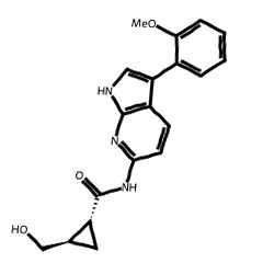 COc1ccccc1-c1c[nH]c2nc(NC(=O)[C@@H]3C[C@H]3CO)ccc12